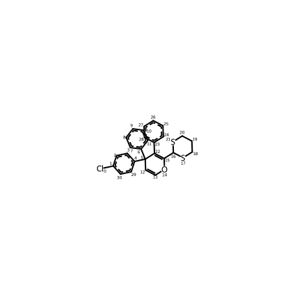 Clc1ccc(C2(c3ccccc3)C=COC(C3SCCCS3)=C2c2ccccc2)cc1